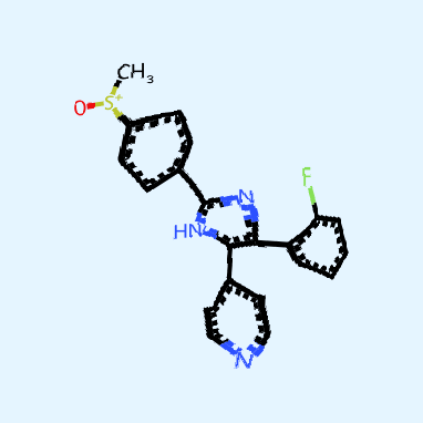 C[S+]([O-])c1ccc(-c2nc(-c3ccccc3F)c(-c3ccncc3)[nH]2)cc1